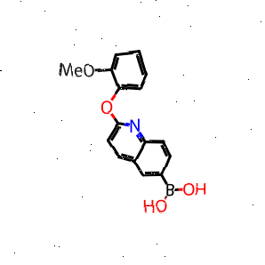 COc1ccccc1Oc1ccc2cc(B(O)O)ccc2n1